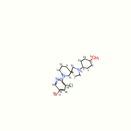 O[C@H]1CC[C@@H](N2CC[C@]3(CCCN(c4ncc(Br)cc4Cl)C3)C2)CC1